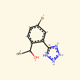 CCCC(O)c1ccc(Br)cc1-c1nnn[nH]1